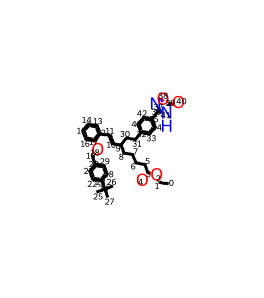 CCOC(=O)CCCCC(/C=C/c1ccccc1OCc1ccc(C(C)(C)C)cc1)CCc1ccc(-c2noc(=O)[nH]2)cc1